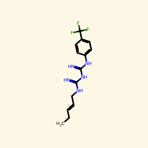 CC/C=C/CNC(=N)NC(=N)Nc1ccc(C(F)(F)F)cc1